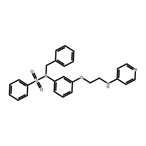 O=S(=O)(c1ccccc1)N(Cc1ccccc1)c1cccc(OCCNc2ccncc2)c1